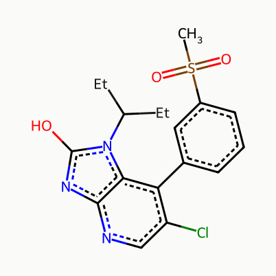 CCC(CC)n1c(O)nc2ncc(Cl)c(-c3cccc(S(C)(=O)=O)c3)c21